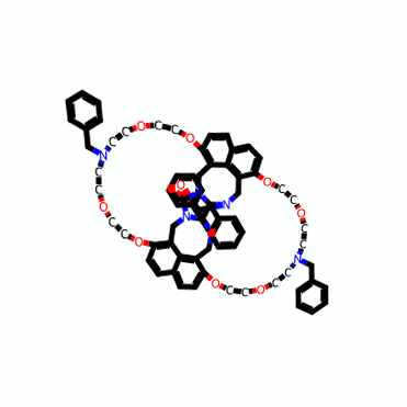 O=C1N2Cc3c4ccc5ccc6c(c35)CN3C(=O)N5Cc7c(ccc8ccc(c(c78)CN1C5(c1ccccc1)C23c1ccccc1)OCCOCCN(Cc1ccccc1)CCOCCO4)OCCOCCN(Cc1ccccc1)CCOCCO6